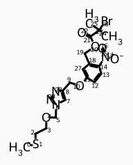 CSCCOCn1cc(COc2ccc([N+](=O)[O-])c(COC(=O)C(C)(C)Br)c2)nn1